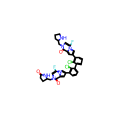 O=C1CCC(Cn2cc(F)n3cc(-c4cccc(-c5cccc(-c6cc7c(=O)n(CC8CCCN8)cc(F)n7c6)c5Cl)c4Cl)cc3c2=O)N1